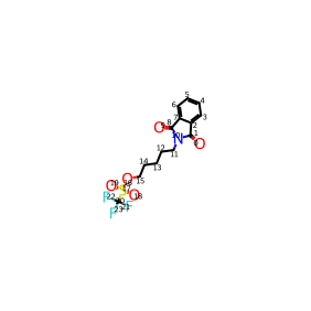 O=C1c2ccccc2C(=O)N1CCCCCOS(=O)(=O)C(F)(F)F